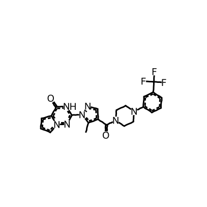 Cc1c(C(=O)N2CCN(c3cccc(C(F)(F)F)c3)CC2)cnn1-c1nn2cccc2c(=O)[nH]1